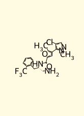 Cc1oc(C(=O)N[C@H](CN)Cc2ccccc2C(F)(F)F)cc1-c1c(Cl)cnn1C